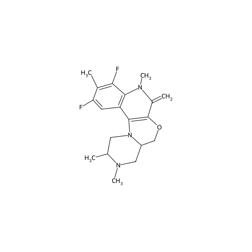 C=C1C2=C(c3cc(F)c(C)c(F)c3N1C)N1CC(C)N(C)CC1CO2